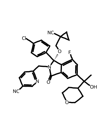 CC(O)(c1cc(F)c2c(c1)C(=O)N(Cc1ccc(C#N)cn1)[C@@]2(OCC1(C#N)CC1)c1ccc(Cl)cc1)C1CCOCC1